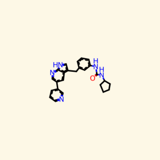 O=C(Nc1cccc(Cc2c[nH]c3ncc(-c4cccnc4)cc23)c1)NC1CCCC1